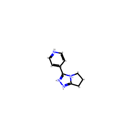 c1cc(-c2nnc3n2CCC3)ccn1